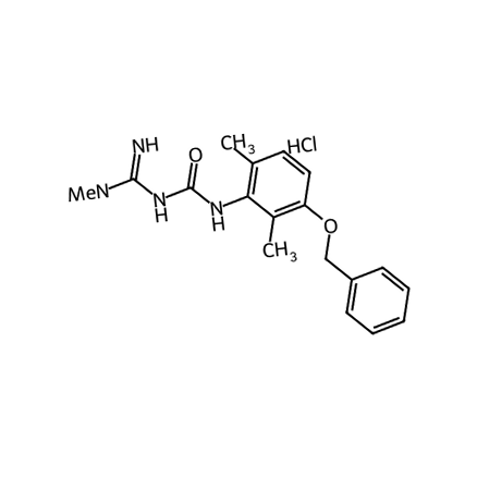 CNC(=N)NC(=O)Nc1c(C)ccc(OCc2ccccc2)c1C.Cl